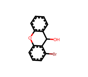 OC1c2ccccc2Oc2cccc(Br)c21